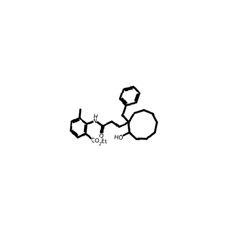 CCOC(=O)c1cccc(C)c1NC(=O)CCC1(Cc2ccccc2)CCCCCCCC1O